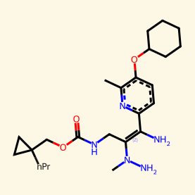 CCCC1(COC(=O)NC/C(=C(/N)c2ccc(OC3CCCCC3)c(C)n2)N(C)N)CC1